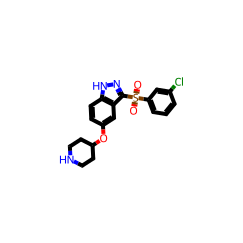 O=S(=O)(c1cccc(Cl)c1)c1n[nH]c2ccc(OC3CCNCC3)cc12